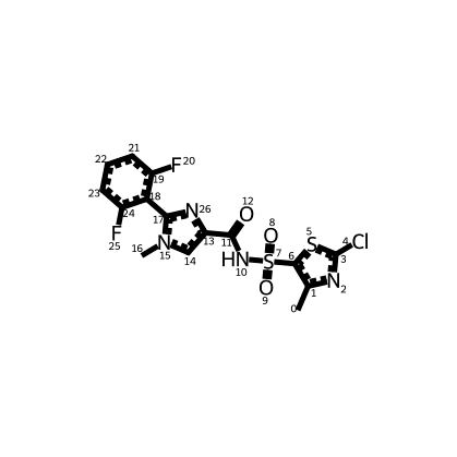 Cc1nc(Cl)sc1S(=O)(=O)NC(=O)c1cn(C)c(-c2c(F)cccc2F)n1